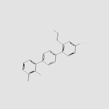 Cc1cccc(-c2ccc(-c3ccc(O)cc3CCC(=O)O)cc2)c1C